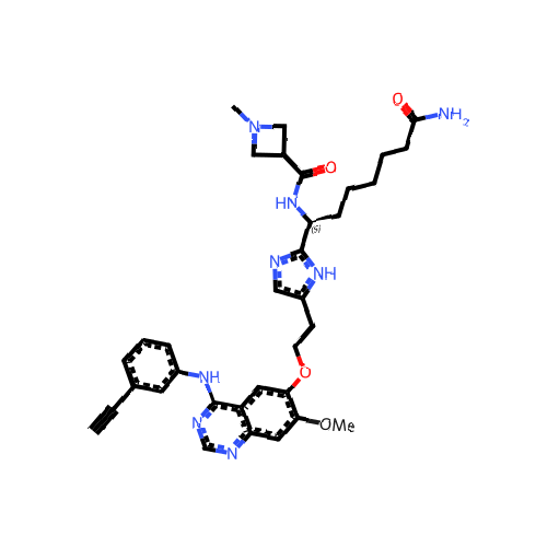 C#Cc1cccc(Nc2ncnc3cc(OC)c(OCCc4cnc([C@H](CCCCCC(N)=O)NC(=O)C5CN(C)C5)[nH]4)cc23)c1